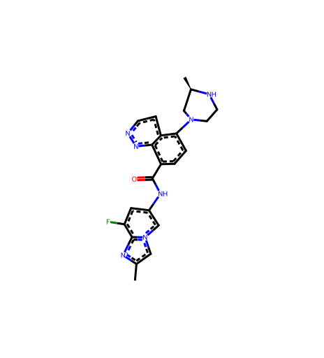 Cc1cn2cc(NC(=O)c3ccc(N4CCN[C@H](C)C4)c4ccnnc34)cc(F)c2n1